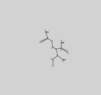 COC(O)C(OCC(=O)O)C(=O)O